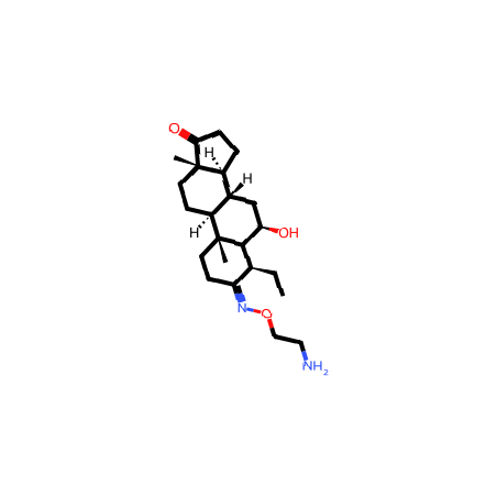 CC[C@H]1/C(=N\OCCN)CC[C@@]2(C)C1[C@H](O)C[C@@H]1[C@@H]2CC[C@]2(C)C(=O)CC[C@@H]12